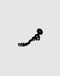 CCCCCCCCCCCCCCCC(CO)c1ccccc1